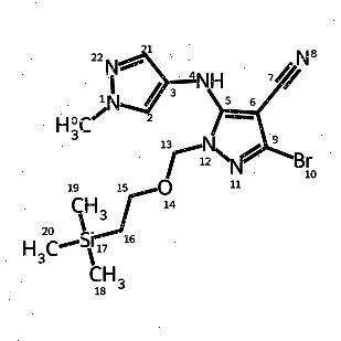 Cn1cc(Nc2c(C#N)c(Br)nn2COCC[Si](C)(C)C)cn1